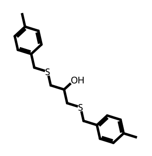 Cc1ccc(CSCC(O)CSCc2ccc(C)cc2)cc1